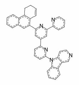 C1=Cc2c(-c3cc(-c4cccc(-n5c6ccccc6c6cnccc65)n4)cc(-c4ccccn4)n3)cc3ccccc3c2CC1